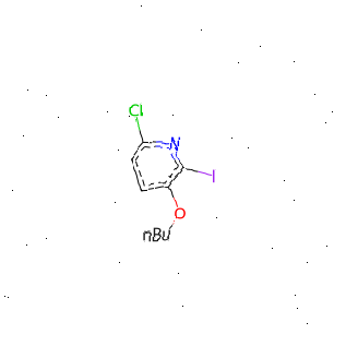 CCCCOc1ccc(Cl)nc1I